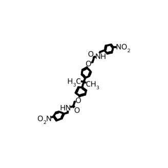 CC(C)(c1ccc(OCC(=O)NCc2ccc([N+](=O)[O-])cc2)cc1)c1ccc(OCC(=O)NCc2ccc([N+](=O)[O-])cc2)cc1